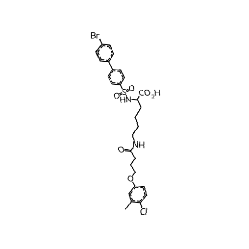 Cc1cc(OCCCC(=O)NCCCCC(NS(=O)(=O)c2ccc(-c3ccc(Br)cc3)cc2)C(=O)O)ccc1Cl